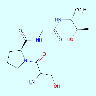 C[C@@H](O)[C@H](NC(=O)CNC(=O)[C@@H]1CCCN1C(=O)[C@@H](N)CO)C(=O)O